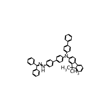 CC1(C)c2ccccc2-c2ccc(N(c3ccc(-c4ccccc4)cc3)c3ccc(-c4ccc(NN=C(c5ccccc5)c5ccccc5)cc4)cc3)cc21